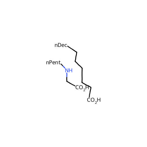 CCCCCCCCCCCCCCCC(=O)O.CCCCCNCC(=O)O